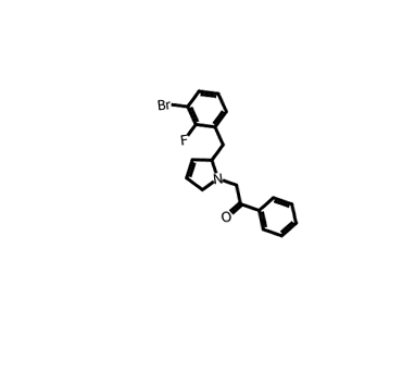 O=C(CN1CC=CC1Cc1cccc(Br)c1F)c1ccccc1